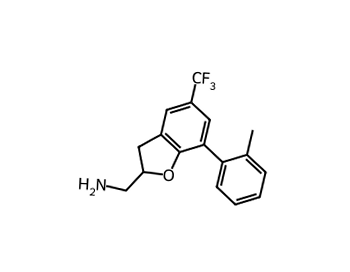 Cc1ccccc1-c1cc(C(F)(F)F)cc2c1OC(CN)C2